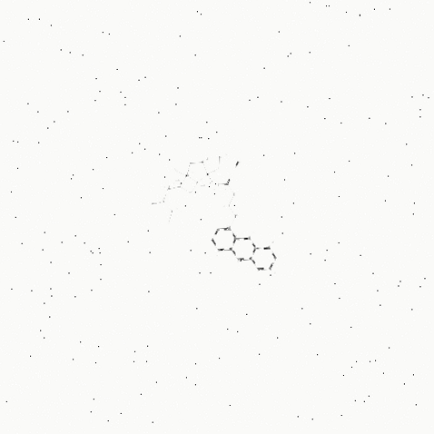 C=C=C(CCCc1cccc2cc3ccccc3cc12)OC1(CC)CCC2(C)C(CC(C)CC)CC12